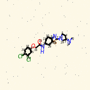 CN(C)[C@@H]1CCN(c2nc3ccc(NC(=O)COc4ccc(Cl)c(Cl)c4)cc3s2)C1